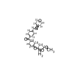 COC(=O)CC1Cc2cc(C(=O)c3ccc(C=NN4CCOCC4)cc3)ccc2OC1N